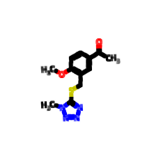 COc1ccc(C(C)=O)cc1CSc1nnnn1C